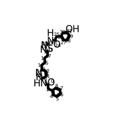 O=C(Cc1ccccc1)Nc1ccc(CCCCc2nnc(NC(=O)Cc3cccc(O)c3)s2)nn1